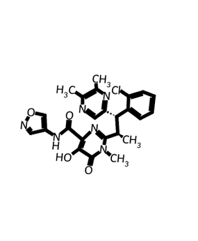 Cc1ncc([C@H](c2ccccc2Cl)[C@@H](C)c2nc(C(=O)Nc3cnoc3)c(O)c(=O)n2C)nc1C